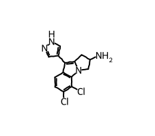 NC1Cc2c(-c3cn[nH]c3)c3ccc(Cl)c(Cl)c3n2C1